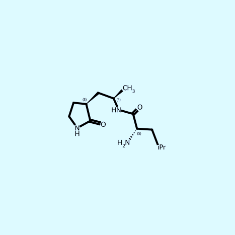 CC(C)C[C@H](N)C(=O)N[C@H](C)C[C@@H]1CCNC1=O